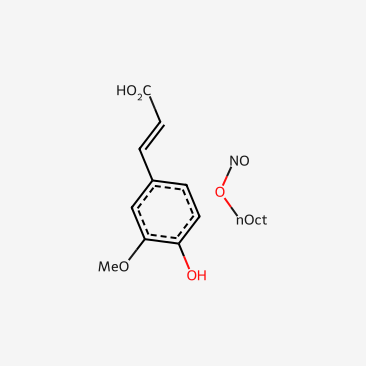 CCCCCCCCON=O.COc1cc(C=CC(=O)O)ccc1O